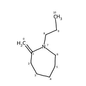 C=C1CCCCCN1CCC